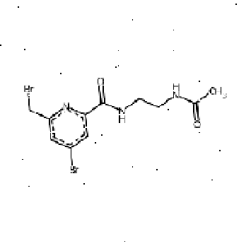 CC(=O)NCCNC(=O)c1cc(Br)cc(CBr)n1